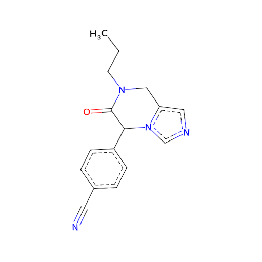 CCCN1Cc2cncn2C(c2ccc(C#N)cc2)C1=O